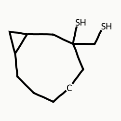 SCC1(S)CCCCCC2CC2C1